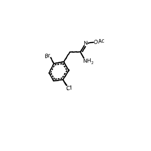 CC(=O)O/N=C(\N)Cc1cc(Cl)ccc1Br